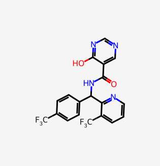 O=C(NC(c1ccc(C(F)(F)F)cc1)c1ncccc1C(F)(F)F)c1cncnc1O